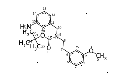 COc1cccc(CCN(Cc2cccc(N)c2)C(=O)OC(C)(C)C)c1